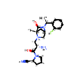 C[C@@H](c1ccccc1F)N1C(=O)[C@@H]2CC1CN2C[C@H](N)C(=O)N1CCC[C@H]1C#N